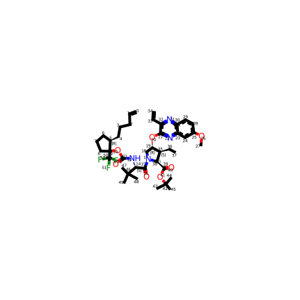 C=CCCC[C@@H]1CCCC1(OC(=O)N[C@H](C(=O)N1C[C@H](Oc2nc3cc(OC)ccc3nc2C=C)[C@@H](CC)[C@H]1C(=O)OC(C)(C)C)C(C)(C)C)C(F)(F)F